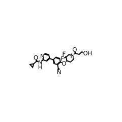 N#Cc1cc(-c2ccnc(NC(=O)C3CC3)c2)ccc1OC1CCN(C(=O)CCO)CC1(F)F